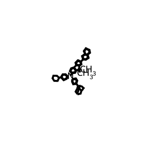 CC1(C)c2cc(-c3ccc4ccccc4c3)ccc2-c2ccc(N(c3ccc(C4CCCCC4)cc3)c3ccc(C4C5CC6CC(C5)CC4C6)cc3)cc21